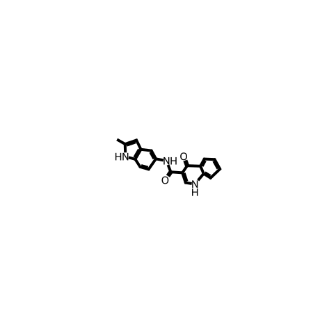 Cc1cc2cc(NC(=O)c3c[nH]c4ccccc4c3=O)ccc2[nH]1